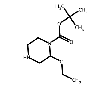 CCOC1CNCCN1C(=O)OC(C)(C)C